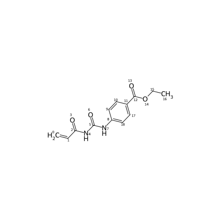 C=CC(=O)NC(=O)Nc1ccc(C(=O)OCC)cc1